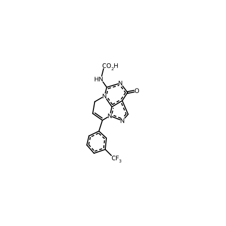 O=C(O)Nc1nc(=O)c2cnn3c2n1CC=C3c1cccc(C(F)(F)F)c1